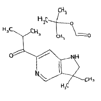 CC(C)(C)OC=O.CC(C)C(=O)c1cc2c(cn1)C(C)(C)CN2